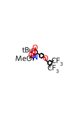 COC(=O)C(C)N(C)C(=O)C(CC(=O)OC(C)(C)C)c1ccc(OCc2cc(C(F)(F)F)cc(C(F)(F)F)c2)cc1